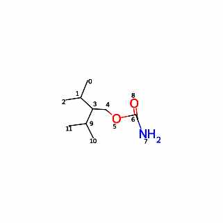 CC(C)C(COC(N)=O)C(C)C